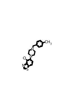 Cc1ccc(CN2CCN(c3ccc4scnc4c3[O])CC2)cc1